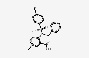 Cc1cc(C)c(N(Cc2ccccc2)S(=O)(=O)c2ccc(F)cc2)c(C(=O)O)c1